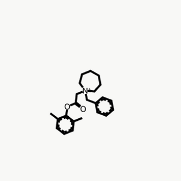 Cc1cccc(C)c1OC(=O)C[N+]1(Cc2ccccc2)CCCCCC1